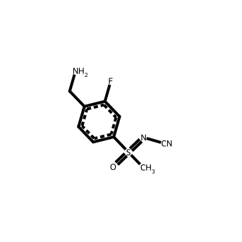 CS(=O)(=NC#N)c1ccc(CN)c(F)c1